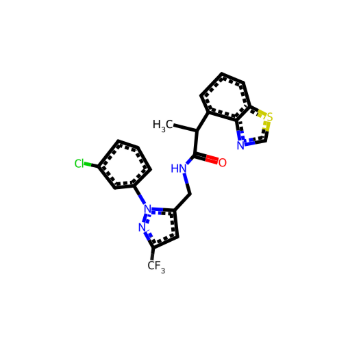 CC(C(=O)NCc1cc(C(F)(F)F)nn1-c1cccc(Cl)c1)c1cccc2scnc12